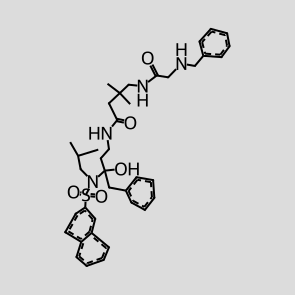 CC(C)CN(C(O)(CCNC(=O)CC(C)(C)CNC(=O)CNCc1ccccc1)Cc1ccccc1)S(=O)(=O)c1ccc2ccccc2c1